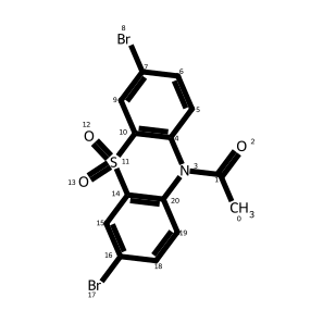 CC(=O)N1c2ccc(Br)cc2S(=O)(=O)c2cc(Br)ccc21